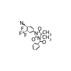 CC1(C)C(=O)N(c2ccc(C#N)c(C(F)(F)F)c2)C(=O)N1C(=O)c1ccccc1